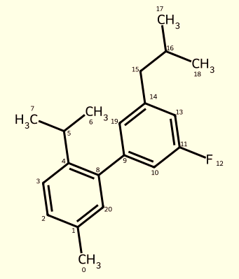 Cc1ccc(C(C)C)c(-c2cc(F)cc(CC(C)C)c2)c1